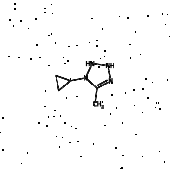 CC1=NNNN1C1CC1